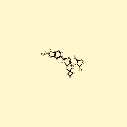 CC[C@@H]1OCC(=O)[C@H]1NC(=O)[C@H](CC1(C)CCC1)NC(=O)c1ccc2nc(N)sc2c1